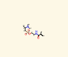 C=C(C)C(=O)NCCOS(=O)(=O)CC(C)N(C)C